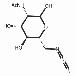 CC(=O)N[C@@H]1C(O)O[C@H](CN=[N+]=[N-])[C@@H](O)[C@@H]1O